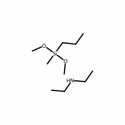 CCC[Si](C)(OC)OC.CCNCC